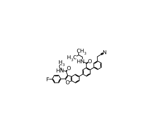 CNC(=O)c1c(-c2ccc(F)cc2)oc2ccc(-c3ccc(-c4cccc(CC#N)c4)c(C(=O)NCC(C)C)c3)cc12